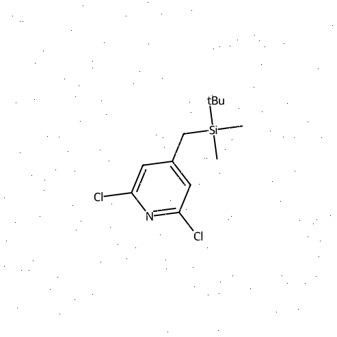 CC(C)(C)[Si](C)(C)Cc1cc(Cl)nc(Cl)c1